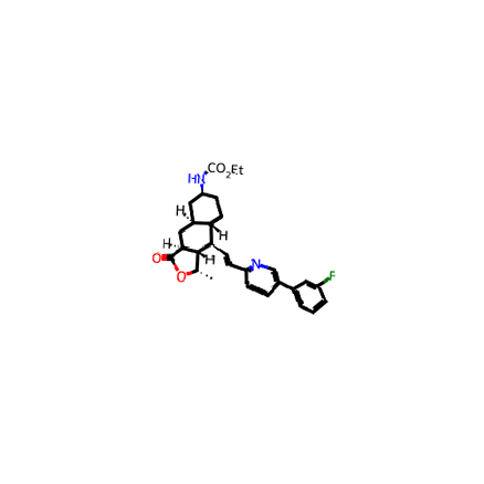 CCOC(=O)N[C@H]1CC[C@H]2[C@H](C1)C[C@@H]1C(=O)O[C@@H](C)[C@H]1[C@@H]2/C=C/c1ccc(-c2cccc(F)c2)cn1